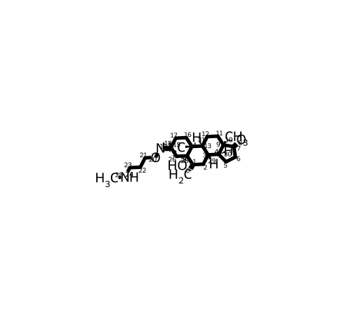 C=C1C[C@H]2[C@@H]3CCC(=O)[C@@]3(C)CC[C@@H]2[C@@]2(C)CC/C(=N/OCCCNC)C[C@]12O